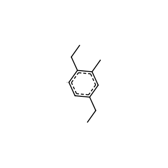 CCc1c[c]c(CC)c(C)c1